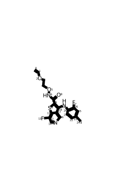 C=COCCONC(=O)c1sc2c(F)cncc2c1Nc1ccc(I)cc1F